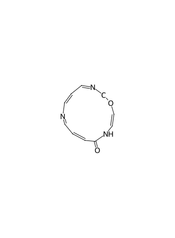 O=C1C=CC=NC=CC=NCOC=CN1